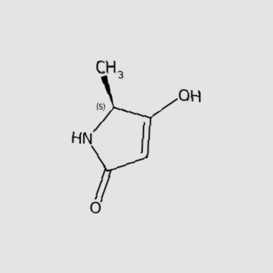 C[C@@H]1NC(=O)C=C1O